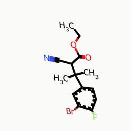 CCOC(=O)C(C#N)C(C)(C)c1ccc(F)c(Br)c1